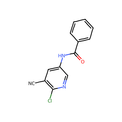 N#Cc1cc(NC(=O)c2ccccc2)cnc1Cl